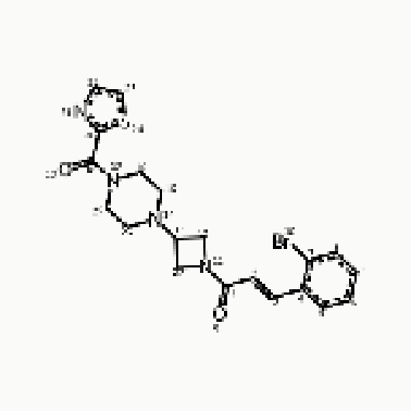 O=C(C=Cc1ccccc1Br)N1CC(N2CCN(C(=O)c3nccs3)CC2)C1